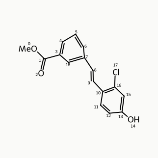 COC(=O)c1cccc(C=Cc2ccc(O)cc2Cl)c1